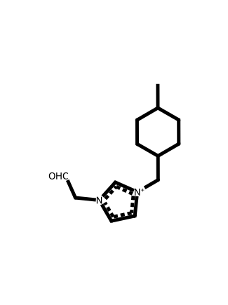 CC1CCC(C[n+]2ccn(CC=O)c2)CC1